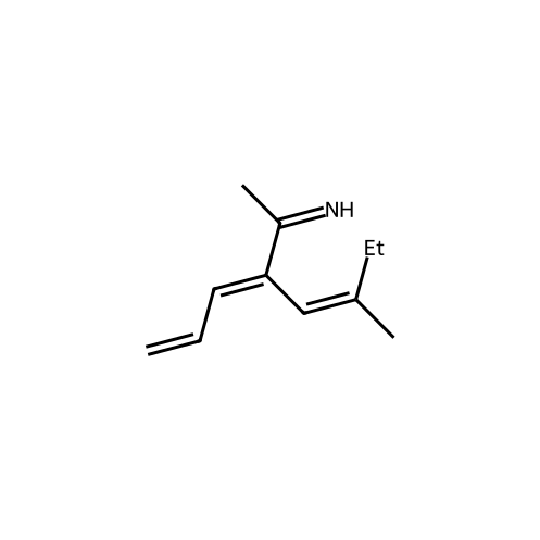 C=C/C=C(\C=C(\C)CC)C(C)=N